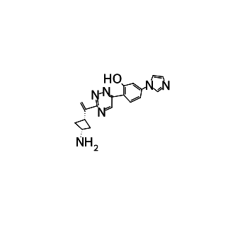 C=C(c1ncc(-c2ccc(-n3ccnc3)cc2O)nn1)[C@H]1C[C@@H](N)C1